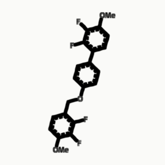 COc1ccc(COc2ccc(-c3ccc(OC)c(F)c3F)cc2)c(F)c1F